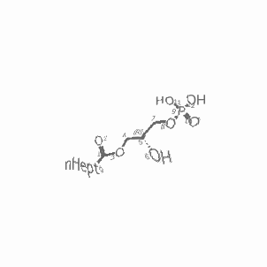 CCCCCCCC(=O)OC[C@@H](O)COP(=O)(O)O